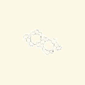 c1cnc2c(cc3ncc4nc3c2c2ccc3ccc5ccc(nc5c3n2)c2c3ncc5nc3c(c3ccc6ccc7ccc(nc7c6n3)c3c6nccnc6cc6ncc5nc63)c3ncc4nc32)n1